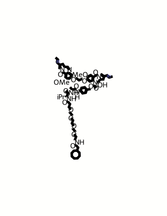 C/C=C/C1=CN2C(=O)c3cc(OC)c(OCCCOc4cc5c(cc4OC)C(=O)N4C=C(/C=C/C)CC4C(O)N5C(=O)OCc4ccc(NC(=O)C(C)NC(=O)[C@@H](NC(=O)CCOCCOCCOCCOCCNC(=O)CC5CCCCCCC5)C(C)C)cc4)cc3N=CC2C1